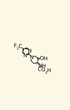 O=C(O)N[C@H]1CCN(c2ncc(C(F)(F)F)cn2)C[C@H]1O